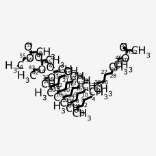 CCCCCC.CCCCCC.CCCCCC.CCCCCC.CCCCCC.CCCCCC.CCOC(C)=O.CCOC(C)=O.CCOC(C)=O.CCOC(C)=O